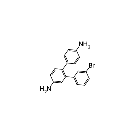 Nc1ccc(-c2ccc(N)cc2-c2cccc(Br)c2)cc1